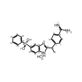 CC(c1ccc(C(=N)N)cc1)c1nc2cc(S(=O)(=O)c3ccccc3)ccc2[nH]1.Cl